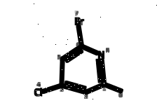 Cc1cc(Cl)cc(Br)n1